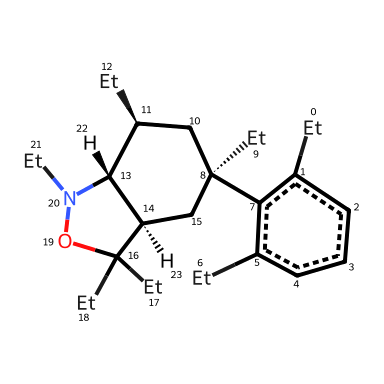 CCc1cccc(CC)c1[C@]1(CC)C[C@H](CC)[C@@H]2[C@@H](C1)C(CC)(CC)ON2CC